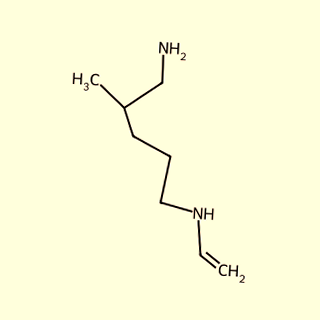 C=CNCCCC(C)CN